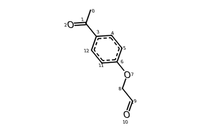 CC(=O)c1ccc(OC[C]=O)cc1